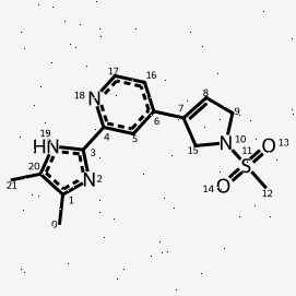 Cc1nc(-c2cc(C3=CCN(S(C)(=O)=O)C3)ccn2)[nH]c1C